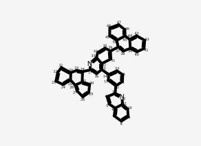 c1cc(-c2ccc3ccccc3n2)cc(-c2cc(-c3cc4ccccc4c4ccccc34)nc3ccc(-c4cc5ccccc5c5ccccc45)cc23)c1